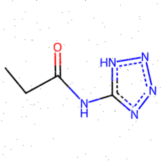 CCC(=O)Nc1nnn[nH]1